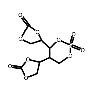 O=C1OCC(C2COS(=O)(=O)OC2C2COC(=O)O2)O1